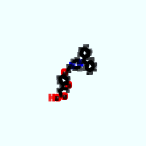 O=C(O)CC1COc2cc(OCCN3CCN(C(c4ccccc4)c4ccccc4)CC3)ccc21